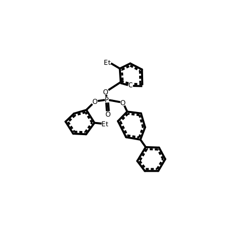 CCc1ccccc1OP(=O)(Oc1ccc(-c2ccccc2)cc1)Oc1ccccc1CC